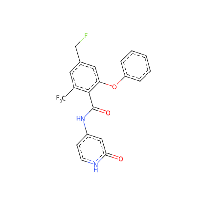 O=C(Nc1cc[nH]c(=O)c1)c1c(Oc2ccccc2)cc(CF)cc1C(F)(F)F